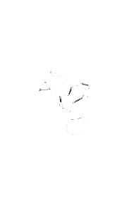 COc1ccnc2c1c(C1CC1)nn2C1CCCOC1